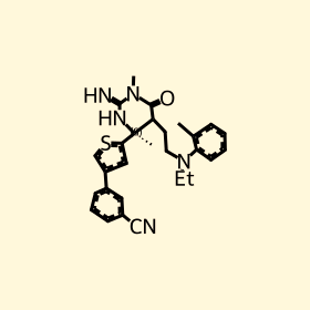 CCN(CCC1C(=O)N(C)C(=N)N[C@]1(C)c1cc(-c2cccc(C#N)c2)cs1)c1ccccc1C